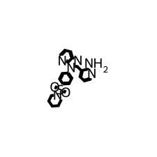 Nc1ncccc1-c1nc2cccnc2n1-c1ccc(S(=O)(=O)N2CCCCC2)cc1